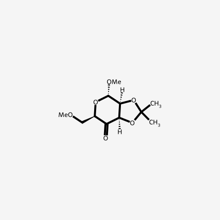 COC[C@H]1O[C@H](OC)[C@H]2OC(C)(C)O[C@H]2C1=O